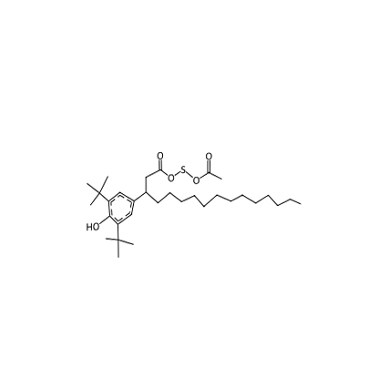 CCCCCCCCCCCCCC(CC(=O)OSOC(C)=O)c1cc(C(C)(C)C)c(O)c(C(C)(C)C)c1